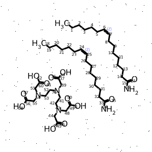 CCCCCC/C=C\CCCCCCCC(N)=O.CCCCCC/C=C\CCCCCCCC(N)=O.O=C(O)CN(CCN(CC(=O)O)CC(=O)O)CCN(CC(=O)O)CC(=O)O